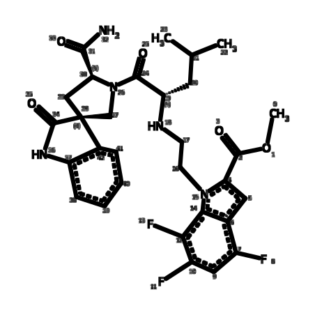 COC(=O)c1cc2c(F)cc(F)c(F)c2n1CCN[C@@H](CC(C)C)C(=O)N1C[C@]2(C[C@H]1C(N)=O)C(=O)Nc1ccccc12